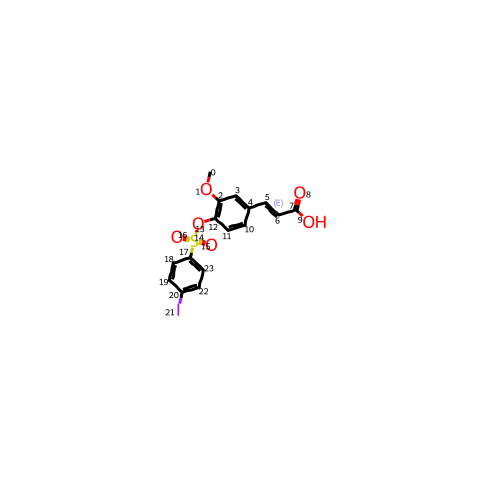 COc1cc(/C=C/C(=O)O)ccc1OS(=O)(=O)c1ccc(I)cc1